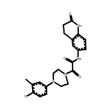 Cc1cc(N2CCN(C(=O)C(=O)Nc3ccc4c(c3)CCC(=O)N4)CC2)ccc1Cl